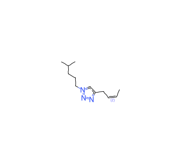 C/C=C\Cc1cn(CCCC(C)C)nn1